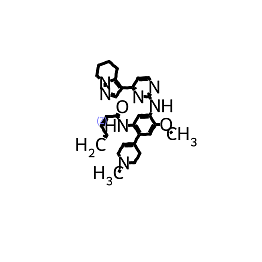 C=C/C=C\C(=O)Nc1cc(Nc2nccc(-c3cnn4c3CCCC4)n2)c(OC)cc1C1=CCN(C)CC1